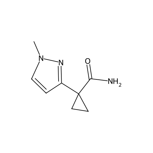 Cn1ccc(C2(C(N)=O)CC2)n1